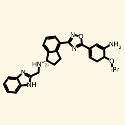 CC(C)OC1CC=C(c2nc(-c3cccc4c3CC[C@@H]4NCc3nc4ccccc4[nH]3)no2)C=C1N